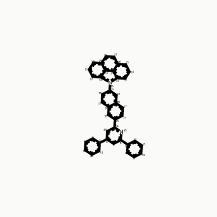 c1ccc(-c2cc(-c3ccccc3)nc(-c3ccc4cc(-n5c6cccc7ccc8cccc5c8c76)ccc4c3)c2)cc1